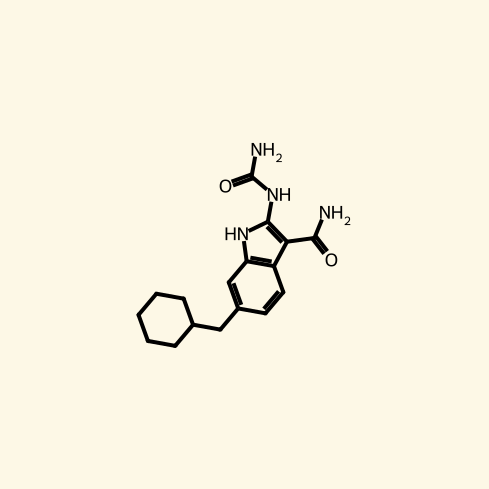 NC(=O)Nc1[nH]c2cc(CC3CCCCC3)ccc2c1C(N)=O